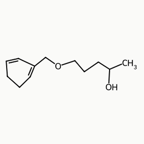 CC(O)CCCOCC1=CCCC=C1